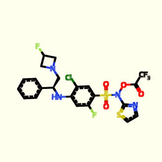 O=C(ON(c1nccs1)S(=O)(=O)c1cc(Cl)c(N[C@H](CN2CC(F)C2)c2ccccc2)cc1F)C(F)(F)F